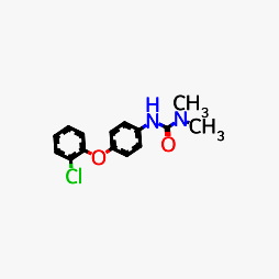 CN(C)C(=O)Nc1ccc(Oc2ccccc2Cl)cc1